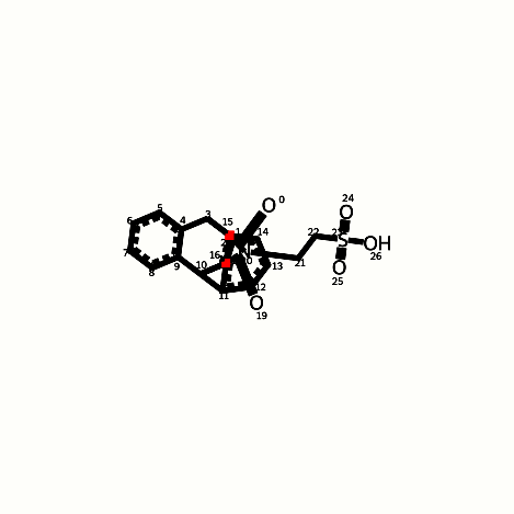 O=C1C2C3c4ccccc4C4(c5cccc3c54)C2C(=O)N1CCS(=O)(=O)O